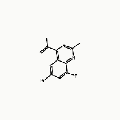 C=C(C)c1cc(C)nc2c(F)cc(Br)cc12